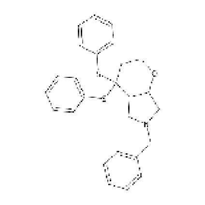 c1ccc(CN2CC3OCCC(Sc4ccccc4)(Sc4ccccc4)C3C2)cc1